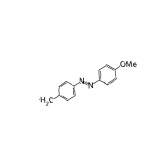 [CH2]c1ccc(/N=N/c2ccc(OC)cc2)cc1